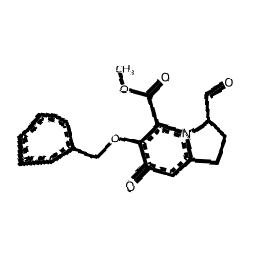 COC(=O)c1c(OCc2ccccc2)c(=O)cc2n1C(C=O)CC2